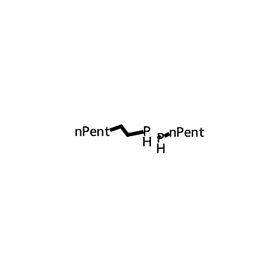 CCCCCCCPPCCCCC